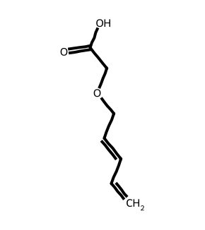 C=CC=CCOCC(=O)O